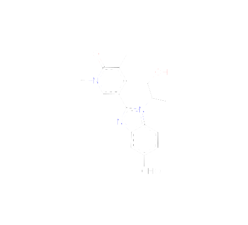 Cc1cc(-c2nc3cc(C=O)ccc3n2C(C)CO)cn(C)c1=O